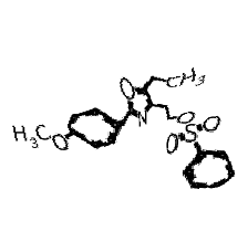 CCc1oc(-c2ccc(OC)cc2)nc1CCOS(=O)(=O)c1ccccc1